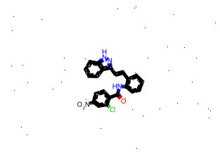 O=C(Nc1ccccc1C=Cc1n[nH]c2ccccc12)c1ccc([N+](=O)[O-])cc1Cl